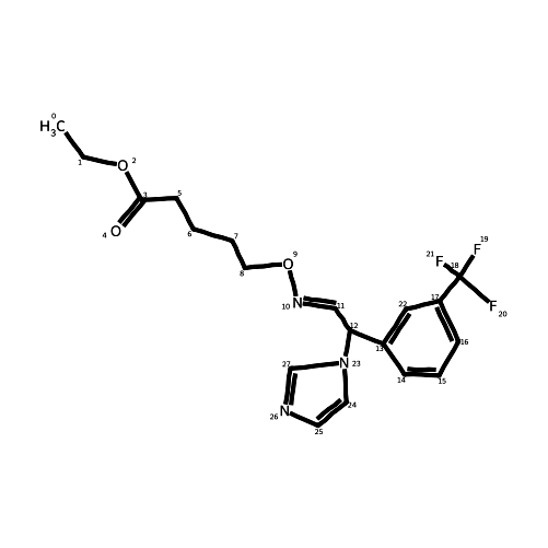 CCOC(=O)CCCCON=CC(c1cccc(C(F)(F)F)c1)n1ccnc1